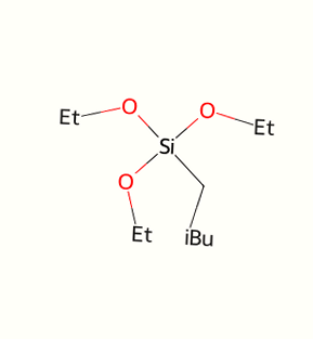 CCO[Si](CC(C)CC)(OCC)OCC